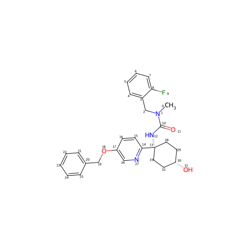 CN(Cc1ccccc1F)C(=O)N[C@]1(c2ccc(OCc3ccccc3)cn2)CC[C@H](O)CC1